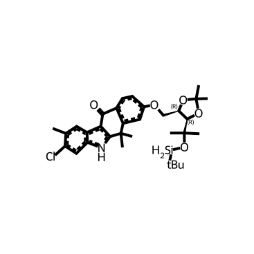 Cc1cc2c3c([nH]c2cc1Cl)C(C)(C)c1cc(OC[C@H]2OC(C)(C)O[C@H]2C(C)(C)O[SiH2]C(C)(C)C)ccc1C3=O